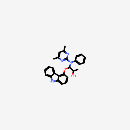 Cc1cc(C)nc(N(c2ccccc2)C(Oc2cccc3[nH]c4ccccc4c23)C(C)O)n1